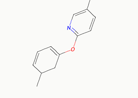 Cc1ccc(OC2=CC=CC(C)C2)nc1